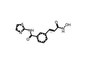 O=C(/C=C/c1cccc(C(=O)Nc2nccs2)c1)NO